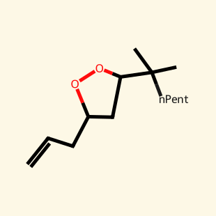 C=CCC1CC(C(C)(C)CCCCC)OO1